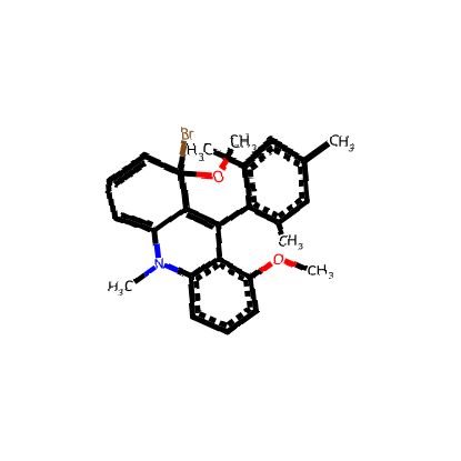 COc1cccc2c1C(c1c(C)cc(C)cc1C)=C1C(=CC=CC1(Br)OC)N2C